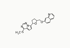 CSc1ncnn2c(C3CCC(COc4ccc5cccnc5c4)O3)ccc12